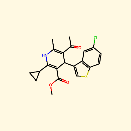 COC(=O)C1=C(C2CC2)NC(C)=C(C(C)=O)C1c1csc2ccc(Cl)cc12